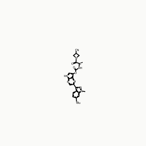 C[C@@H](NC(=O)Oc1c[nH]c2ncc(-c3nn(C)c4cc(C(C)(C)C)ccc34)nc12)C(=O)N1CC(C#N)C1